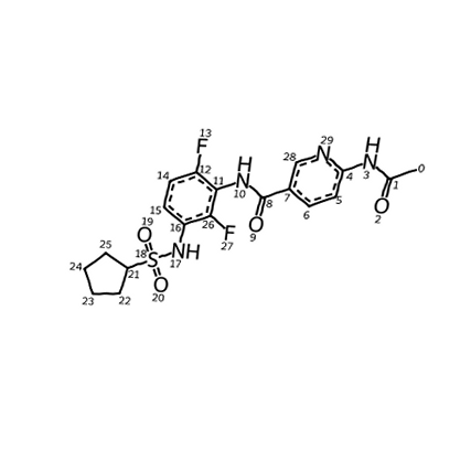 CC(=O)Nc1ccc(C(=O)Nc2c(F)ccc(NS(=O)(=O)C3CCCC3)c2F)cn1